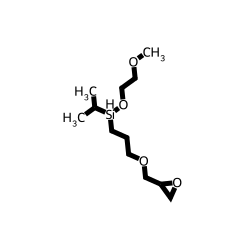 COCCO[SiH](CCCOCC1CO1)C(C)C